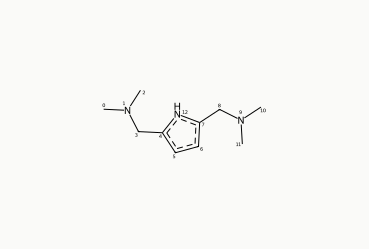 CN(C)Cc1ccc(CN(C)C)[nH]1